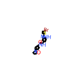 O=C(Cc1ccc2[nH]c(-c3ccc(Br)s3)nc2c1)NCc1ccc(N2CCCCC2=O)cc1